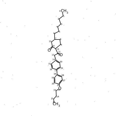 CCCCCCCC1CCC(C(=O)Cc2ccc(-c3ccc(OCCCC)cc3)cc2)C(=O)C1